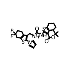 CC1(C)OC(=O)c2c(NC(=O)NCc3c(-n4cccc4)sc4c3CCC(F)(F)C4)sc3c2C1CCC3